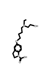 CCN(CCO)CCCCOc1ccc2c(c1)CCN2C(=O)S